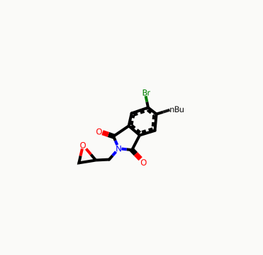 CCCCc1cc2c(cc1Br)C(=O)N(CC1CO1)C2=O